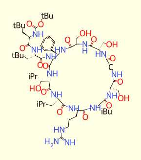 CC[C@H](C)[C@@H]1NC(=O)[C@@H](CCCNC(=N)N)NC(=O)[C@H](CC(C)C)NC(=O)[C@H]([C@H](O)C(C)C)NC(=O)[C@@H](NC(=O)[C@H](CC(C)(C)C)NC(=O)[C@@H](CC(C)(C)C)NC(=O)OC(C)(C)C)[C@@H](c2ccccc2)NC(=O)C(CO)NC(=O)[C@H](CO)NC(=O)CNC(=O)[C@H](CO)NC1=O